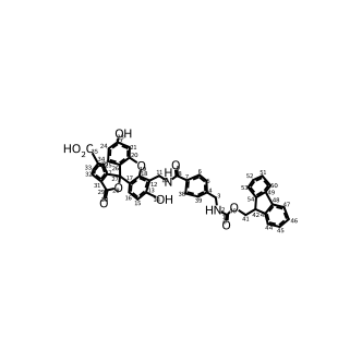 O=C(NCc1ccc(C(=O)NCc2c(O)ccc3c2Oc2cc(O)ccc2C32OC(=O)c3ccc(C(=O)O)cc32)cc1)OCC1c2ccccc2-c2ccccc21